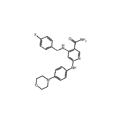 NC(=O)c1cnc(Nc2ccc(N3CCOCC3)cc2)cc1NCc1ccc(F)cc1